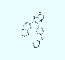 c1ccc(Oc2ccc(-c3c(-c4ccc5ccccc5c4)nc4occn34)cc2)cc1